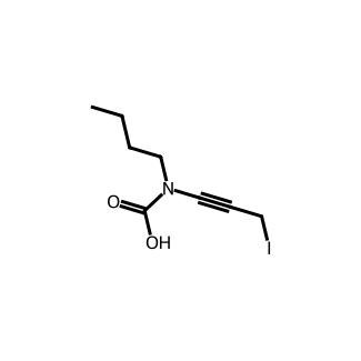 CCCCN(C#CCI)C(=O)O